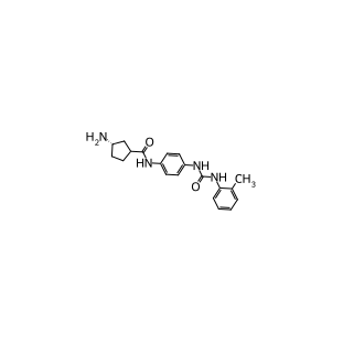 Cc1ccccc1NC(=O)Nc1ccc(NC(=O)C2CC[C@H](N)C2)cc1